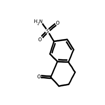 NS(=O)(=O)c1ccc2c(c1)C(=O)CCC2